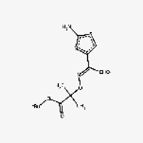 CC(C)(C)OC(=O)C(C)(C)O/N=C(\[C]=O)c1csc(N)n1